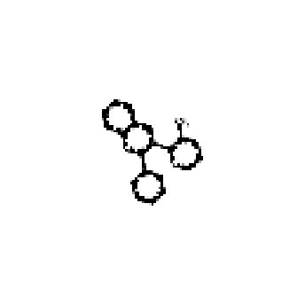 FC(F)(F)c1cccnc1-c1cc2ccccc2nc1-c1ccccc1